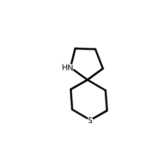 C1CNC2(C1)CCSCC2